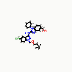 C[Si](C)(C)CCOCn1nc(Nc2nc3cc(CO)ccc3n2C2CCCCC2)c2cc(Br)ccc21